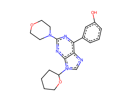 Oc1cccc(-c2nc(N3CCOCC3)nc3c2ncn3C2CCCCO2)c1